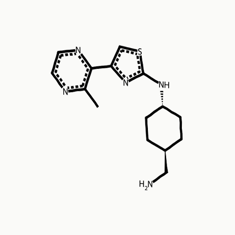 Cc1nccnc1-c1csc(N[C@H]2CC[C@H](CN)CC2)n1